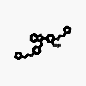 O=C(O)c1cc(-c2sc3ccccc3c2Cc2ccc(OCCN3CCCC3)cc2)ccc1OCCN1CCCC1